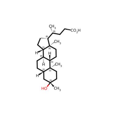 C[C@H](CCC(=O)O)[C@H]1CC[C@H]2[C@@H]3CC[C@H]4C[C@@](C)(O)CC[C@]4(C)[C@H]3CC[C@]12C